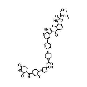 CCN(C)S(=O)(=O)Nc1cccc(C(=O)c2c[nH]c3ncc(-c4ccc(N5CCN(C(=O)CC6(O)CCN(c7ccc(NC8CCC(=O)NC8=O)cc7F)C6)CC5)cc4)cc23)c1F